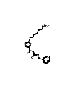 CCCCCCCCCCCCCCCSc1ccc(C(=O)CC(=O)OCc2cccnc2)s1